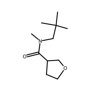 CN(CC(C)(C)C)C(=O)C1CCOC1